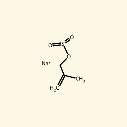 C=C(C)CO[S-](=O)=O.[Na+]